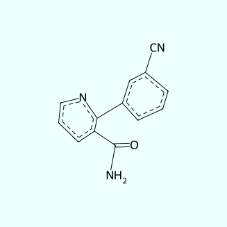 N#Cc1cccc(-c2ncccc2C(N)=O)c1